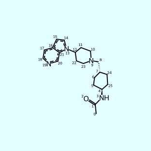 CC(=O)N[C@H]1CC[C@H](CN2CCC(n3ccc4ccncc43)CC2)CC1